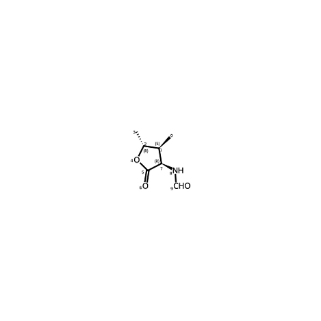 C[C@@H]1[C@@H](C)OC(=O)[C@@H]1NC=O